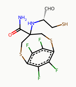 NC(=O)C1(N[C@H](C=O)CS)CSc2c(F)c(F)c(c(F)c2F)SC1